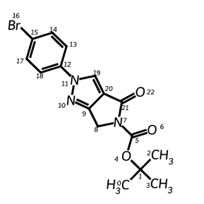 CC(C)(C)OC(=O)N1Cc2nn(-c3ccc(Br)cc3)cc2C1=O